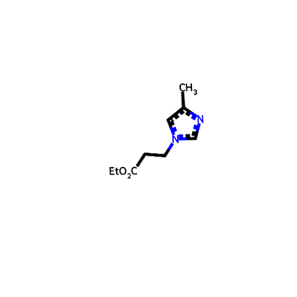 CCOC(=O)CCn1cnc(C)c1